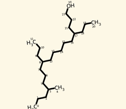 CCCC(C)CCCC(CCC)CCCCCC(CCC)CCCO